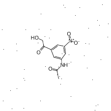 CC(=O)Nc1cc(C(=O)CO)cc([N+](=O)[O-])c1